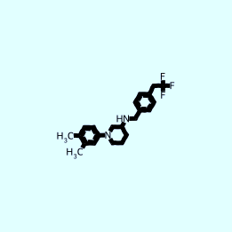 Cc1ccc(N2CCCC(NCc3ccc(CC(F)(F)F)cc3)C2)cc1C